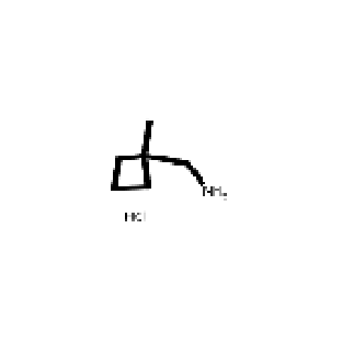 CC1(CN)CCC1.Cl